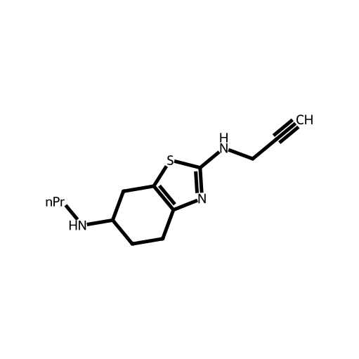 C#CCNc1nc2c(s1)CC(NCCC)CC2